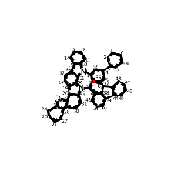 c1ccc(-c2cccc(-n3c4ccccc4c4ccc5c6c7oc8ccccc8c7ccc6n(-c6ccc7c8c(cccc68)-c6ccccc6-7)c5c43)c2)cc1